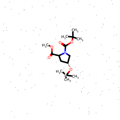 COC(=O)C1C[C@@H](O[Si](C)(C)C)CN1C(=O)OC(C)(C)C